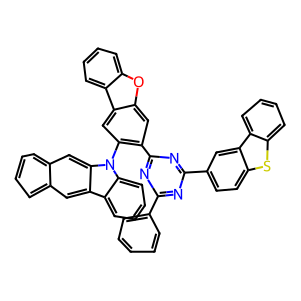 c1ccc(-c2nc(-c3ccc4sc5ccccc5c4c3)nc(-c3cc4oc5ccccc5c4cc3-n3c4ccccc4c4cc5ccccc5cc43)n2)cc1